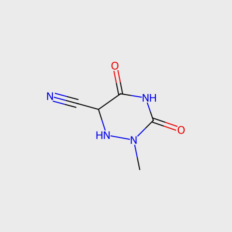 CN1NC(C#N)C(=O)NC1=O